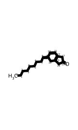 CCCCCCCC/C=C1/C=CC2=C(CC(=O)C2)C1